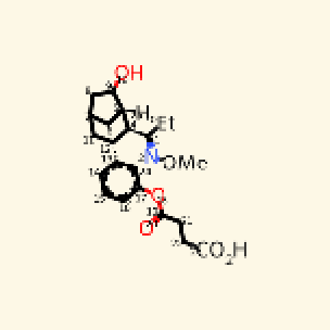 CCC(=NOC)[C@@H]1[C@@H]2CC(CC2O)C[C@H]1c1cc[c]c(OC(=O)CCC(=O)O)c1